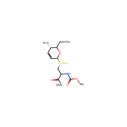 COC(=O)C(C[S+]([S-])[C@H]1C=C[C@H](OC(C)=O)C(COC(C)=O)O1)NC(=O)OC(C)(C)C